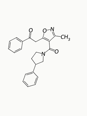 Cc1noc(CC(=O)c2ccccc2)c1C(=O)N1CCC(c2ccccc2)C1